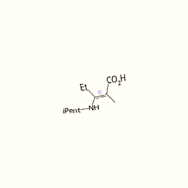 CCCC(C)N/C(CC)=C(\C)C(=O)O